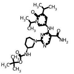 CC(C)c1cc(Nc2nc(N3CCC[C@H](NC(=O)OC(C)(C)C)C3)ncc2C(N)=O)cn(C(C)C)c1=O